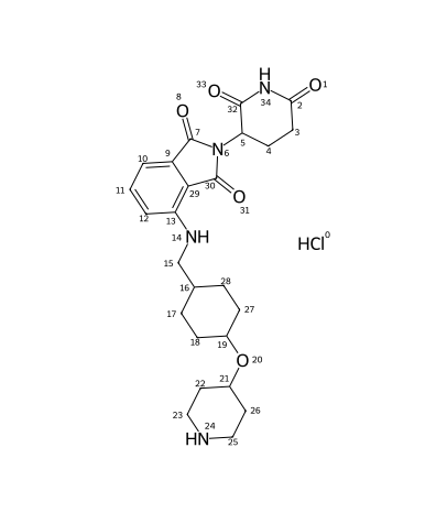 Cl.O=C1CCC(N2C(=O)c3cccc(NCC4CCC(OC5CCNCC5)CC4)c3C2=O)C(=O)N1